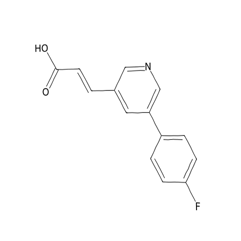 O=C(O)/C=C/c1cncc(-c2ccc(F)cc2)c1